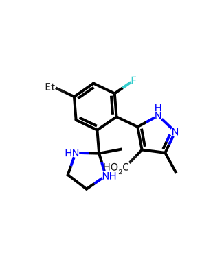 CCc1cc(F)c(-c2[nH]nc(C)c2C(=O)O)c(C2(C)NCCN2)c1